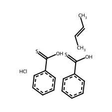 CC=CC.Cl.OC(=S)c1ccccc1.OC(=S)c1ccccc1